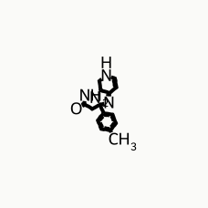 Cc1ccc(C2(CC(N)=O)N=C3C=CNCC3=N2)cc1